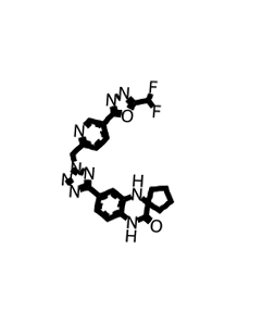 O=C1Nc2ccc(-c3nnn(Cc4ccc(-c5nnc(C(F)F)o5)cn4)n3)cc2NC12CCCC2